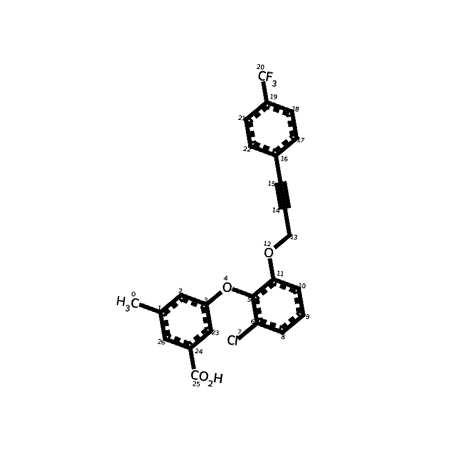 Cc1cc(Oc2c(Cl)cccc2OCC#Cc2ccc(C(F)(F)F)cc2)cc(C(=O)O)c1